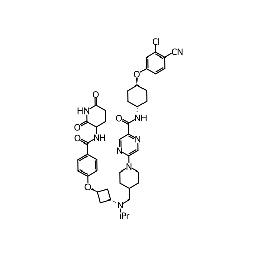 CC(C)N(CC1CCN(c2cnc(C(=O)N[C@H]3CC[C@H](Oc4ccc(C#N)c(Cl)c4)CC3)cn2)CC1)[C@H]1C[C@H](Oc2ccc(C(=O)NC3CCC(=O)NC3=O)cc2)C1